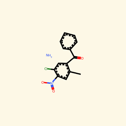 Cc1cc([N+](=O)[O-])c(Cl)cc1C(=O)c1ccccc1.N